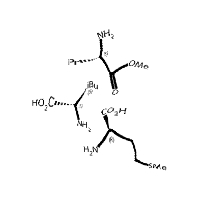 CC[C@H](C)[C@H](N)C(=O)O.COC(=O)[C@@H](N)C(C)C.CSCC[C@@H](N)C(=O)O